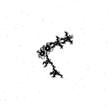 CCCC[N+](CCCC)(CCCC)CCCC.CCCC[N+](CCCC)(CCCC)CCCC.CCCC[N+](CCCC)(CCCC)CCCC.CCCC[N+](CCCC)(CCCC)CCCC.[Ni].[S-]c1c(Cl)cc(Cl)c(Cl)c1[S-].[S-]c1c(Cl)cc(Cl)c(Cl)c1[S-]